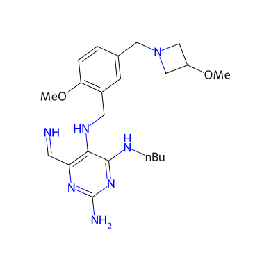 CCCCNc1nc(N)nc(C=N)c1NCc1cc(CN2CC(OC)C2)ccc1OC